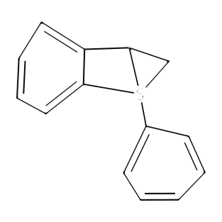 c1ccc(S23CC2c2ccccc23)cc1